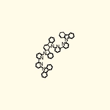 C1=Cc2c(c3ccccc3n2-c2cccc(-c3cccc(N4c5ccccc5C5=CC=C6C(c7ccccc7N6c6cccc(-c7cccc(-n8c9ccccc9c9ccccc98)n7)n6)C54)n3)n2)CC1